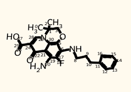 CC1(C)COc2c(NCCCc3ccccc3)c(F)c(N)c3c(=O)c(C(=O)O)cn1c23